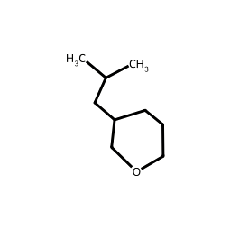 C[C](C)CC1CCCOC1